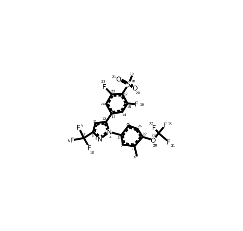 Cc1cc(-n2nc(C(F)(F)F)cc2-c2cc(F)c(S(C)(=O)=O)c(F)c2)ccc1OC(F)(F)F